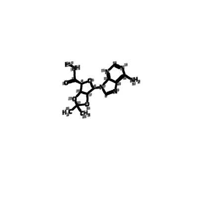 CCNC(=O)[C@H]1O[C@@H](n2cnc3c(N)ncnc32)C2OC(C)(C)OC21